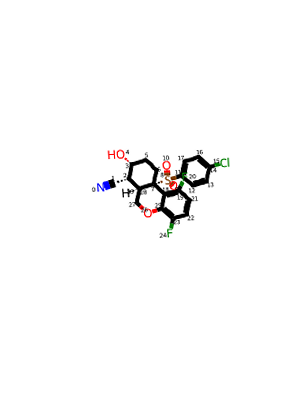 N#C[C@@H]1[C@H](O)CC[C@@]2(S(=O)(=O)c3ccc(Cl)cc3)c3c(F)ccc(F)c3OC[C@@H]12